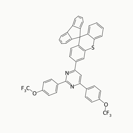 FC(F)(F)Oc1ccc(-c2cc(-c3ccc4c(c3)Sc3ccccc3C43c4ccccc4-c4ccccc43)nc(-c3ccc(OC(F)(F)F)cc3)n2)cc1